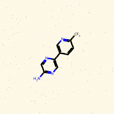 Nc1cnc(-c2ccc(C(F)(F)F)nc2)cn1